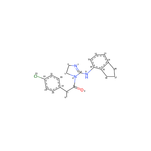 CC(C(=O)N1CCN=C1Nc1cccc2c1CCC2)c1ccc(Cl)cc1